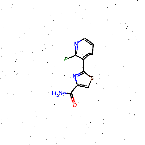 NC(=O)c1csc(-c2cccnc2F)n1